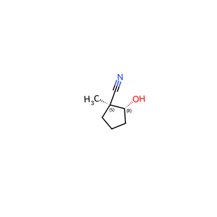 C[C@@]1(C#N)CCC[C@H]1O